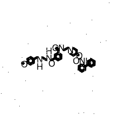 COc1ccc(CNCCNC(=O)c2cccc(C(=O)N(C)CCN3CCC(OC(=O)Nc4ccccc4-c4ccccc4)CC3)c2)cc1